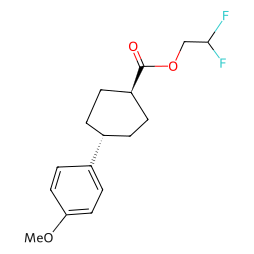 COc1ccc([C@H]2CC[C@H](C(=O)OCC(F)F)CC2)cc1